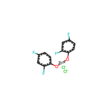 Fc1ccc([O][Zr+2][O]c2ccc(F)cc2F)c(F)c1.[Cl-].[Cl-]